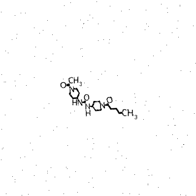 CCCCC(=O)N1CCC(NC(=O)NC2CCN(C(C)=O)CC2)CC1